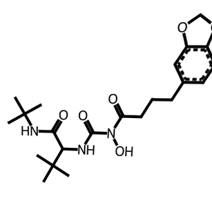 CC(C)(C)NC(=O)C(NC(=O)N(O)C(=O)CCCc1ccc2c(c1)OCO2)C(C)(C)C